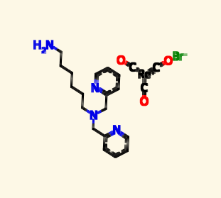 NCCCCCCN(Cc1ccccn1)Cc1ccccn1.O=[C]=[Re+](=[C]=O)=[C]=O.[Br-]